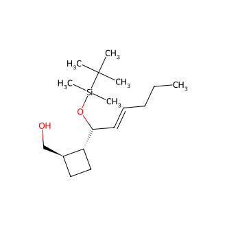 CCC/C=C/C(O[Si](C)(C)C(C)(C)C)[C@@H]1CC[C@H]1CO